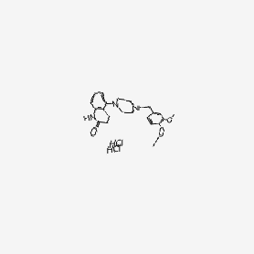 COc1ccc(CN2CCN(c3cccc4c3CCC(=O)N4)CC2)cc1OC.Cl.Cl